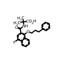 CC(C)(NC(=O)c1cc(F)c2ccccc2c1OCCCc1ccccc1)C(=O)O